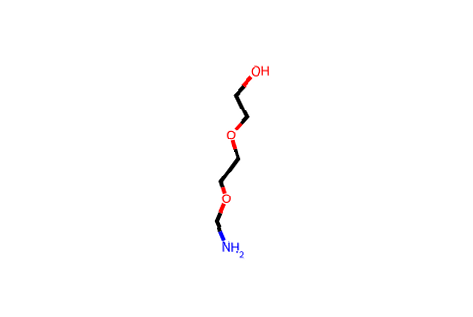 NCOCCOCCO